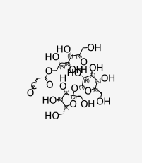 O=C=CC(=O)OC[C@H](O)[C@@H](O)[C@H](O)[C@H](O)CO.OC[C@H]1O[C@@](CO)(O[C@H]2O[C@H](CO)[C@@H](O)[C@H](O)[C@H]2O)[C@@H](O)[C@@H]1O